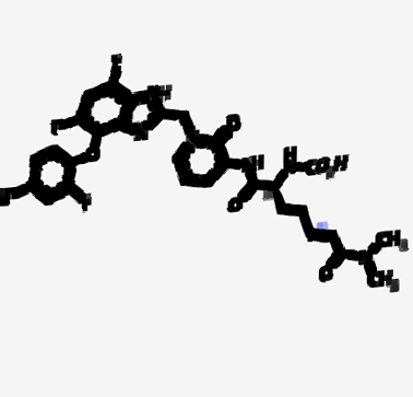 CN(C)C(=O)/C=C/CC[C@H](NC(=O)O)C(=O)Nc1cccn(Cc2nc3c(Oc4ccc(F)cc4F)c(F)cc(F)c3[nH]2)c1=O